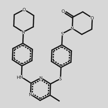 Cc1cnc(Nc2ccc(N3CCOCC3)cc2)nc1Sc1ccc(SN2CCOCC2=O)cc1